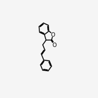 O=C1Oc2ccccc2C1CC=Cc1ccccc1